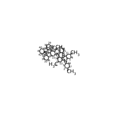 Cc1ccc(N2c3ccc(C)cc3B3c4cccc5c4N(c4ccc([Si](c6ccccc6)(c6ccccc6)c6ccccc6)cc4C5(C)C)c4cc(C)cc2c43)cc1